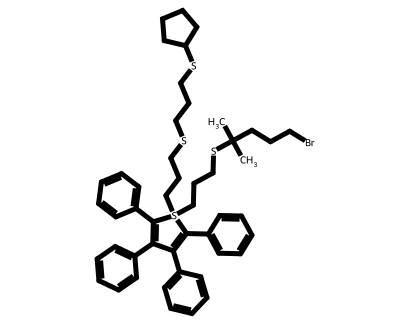 CC(C)(CCCBr)SCCCS1(CCCSCCCSC2CCCC2)C(c2ccccc2)=C(c2ccccc2)C(c2ccccc2)=C1c1ccccc1